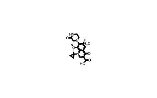 COc1c(N2CCNC(=O)C2)c(F)cc2c(=O)c(C(=O)O)cn(C3(I)CC3)c12.O